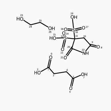 O=C(O)CCC(=O)O.O=C1CC(S(=O)(=O)O)(S(=O)(=O)O)C(=O)N1.OCCO